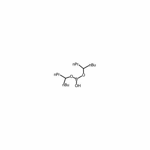 CCCCC(CCC)OB(O)OC(CCC)CCCC